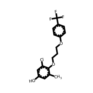 Cc1cc(O)cc(Cl)c1OCCCOc1ccc(C(F)(F)F)cc1